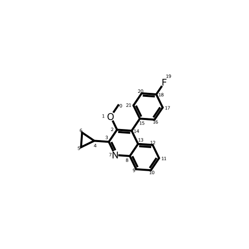 COc1c(C2CC2)nc2ccccc2c1-c1ccc(F)cc1